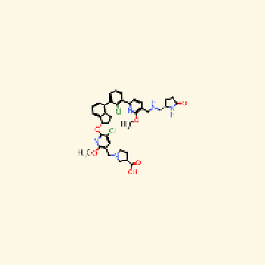 COc1nc(-c2cccc(-c3cccc4c3CC[C@@H]4Oc3nc(OC)c(CN4CC[C@@H](C(=O)O)C4)cc3Cl)c2Cl)ccc1CNC[C@@H]1CCC(=O)N1